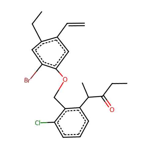 C=Cc1cc(OCc2c(Cl)cccc2C(C)C(=O)CC)c(Br)cc1CC